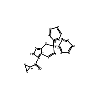 O=C(c1[nH]cc2c1C=CC(c1ccccc1)(c1ccccc1)C2)C1CC1